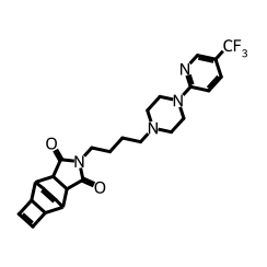 O=C1C2C3C=CC(C4C=CC43)C2C(=O)N1CCCCN1CCN(c2ccc(C(F)(F)F)cn2)CC1